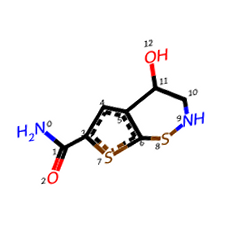 NC(=O)c1cc2c(s1)SNCC2O